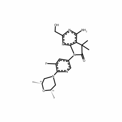 C[C@@H]1CN(c2ncc(N3C(=O)C(C)(C)c4c(N)nc(CO)nc43)cc2F)C[C@H](C)O1